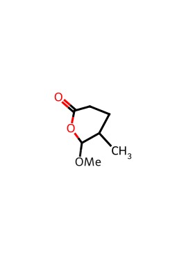 COC1OC(=O)CCC1C